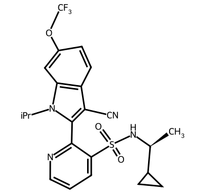 CC(C)n1c(-c2ncccc2S(=O)(=O)N[C@@H](C)C2CC2)c(C#N)c2ccc(OC(F)(F)F)cc21